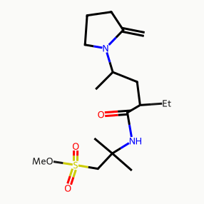 C=C1CCCN1C(C)CC(CC)C(=O)NC(C)(C)CS(=O)(=O)OC